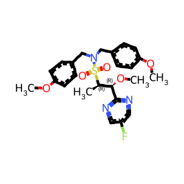 COc1ccc(CN(Cc2ccc(OC)cc2)S(=O)(=O)[C@H](C)[C@H](OC)c2ncc(F)cn2)cc1